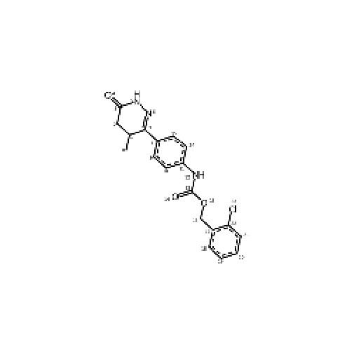 CC1CC(=O)NN=C1c1ccc(NC(=O)OCc2ccccc2Cl)cc1